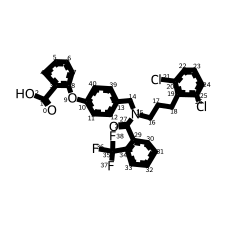 O=C(O)c1ccccc1Oc1ccc(CN(CCCc2c(Cl)cccc2Cl)C(=O)c2ccccc2C(F)(F)F)cc1